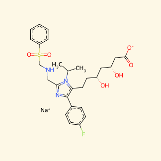 CC(C)n1c(CNCS(=O)(=O)c2ccccc2)nc(-c2ccc(F)cc2)c1CC[C@@H](O)C[C@@H](O)CC(=O)[O-].[Na+]